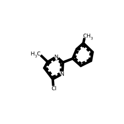 Cc1cccc(-c2nc(C)cc(Cl)n2)c1